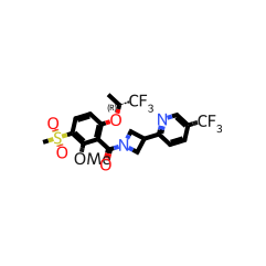 COc1c(S(C)(=O)=O)ccc(O[C@H](C)C(F)(F)F)c1C(=O)N1CC(c2ccc(C(F)(F)F)cn2)C1